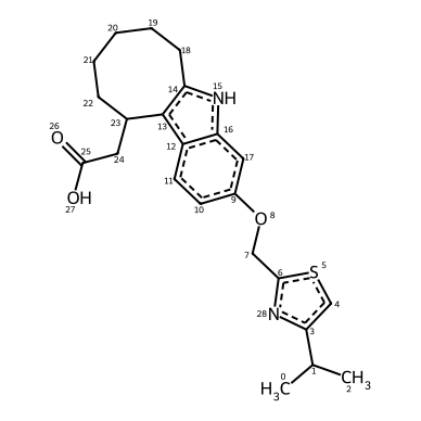 CC(C)c1csc(COc2ccc3c4c([nH]c3c2)CCCCCC4CC(=O)O)n1